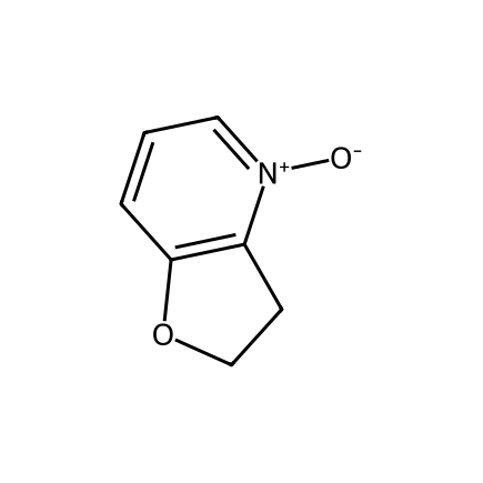 [O-][n+]1cccc2c1CCO2